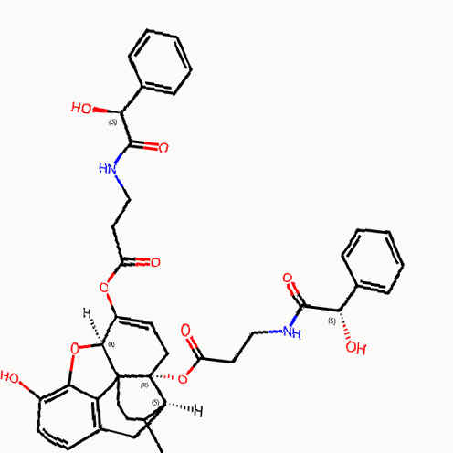 CC1CCC23c4c5ccc(O)c4O[C@H]2C(OC(=O)CCNC(=O)[C@@H](O)c2ccccc2)=CC[C@@]3(OC(=O)CCNC(=O)[C@@H](O)c2ccccc2)[C@H]1C5